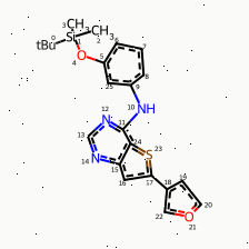 CC(C)(C)[Si](C)(C)Oc1cccc(Nc2ncnc3cc(-c4ccoc4)sc23)c1